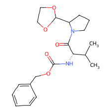 CC(C)[C@H](NC(=O)OCc1ccccc1)C(=O)N1CCCC1C1OCCO1